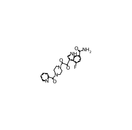 NC(=O)c1ccc(F)c2c(C(=O)C(=O)N3CCN(C(=O)c4ccccn4)CC3)c[nH]c12